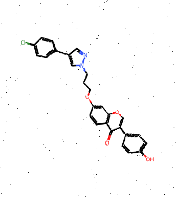 O=c1c(-c2ccc(O)cc2)coc2cc(OCCCn3cc(-c4ccc(Cl)cc4)cn3)ccc12